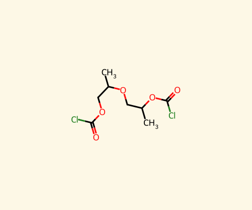 CC(COC(=O)Cl)OCC(C)OC(=O)Cl